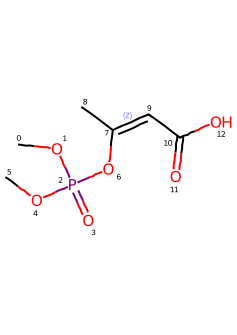 COP(=O)(OC)O/C(C)=C\C(=O)O